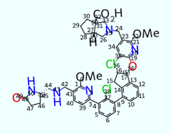 COc1nc(-c2cccc(-c3cccc4c3CC[C@@H]4Oc3nc(OC)c(CN4C[C@@H]5CCC[C@]5(C(=O)O)C4)cc3Cl)c2Cl)ccc1CNC[C@@H]1CCC(=O)N1